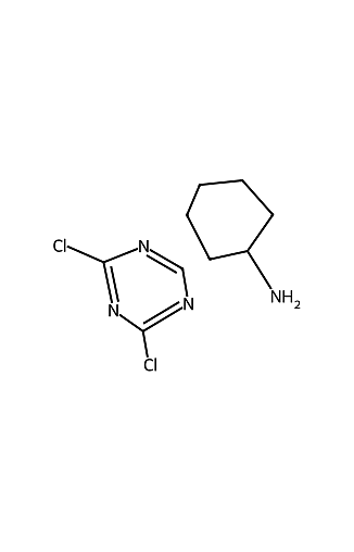 Clc1ncnc(Cl)n1.NC1CCCCC1